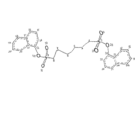 O=S(=O)(CCCCCCS(=O)(=O)Oc1cccc2ccccc12)Oc1cccc2ccccc12